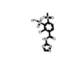 CCCS(=O)(=O)c1c(S(C)(=O)=O)ccc(C(=O)Nc2nnco2)c1Cl